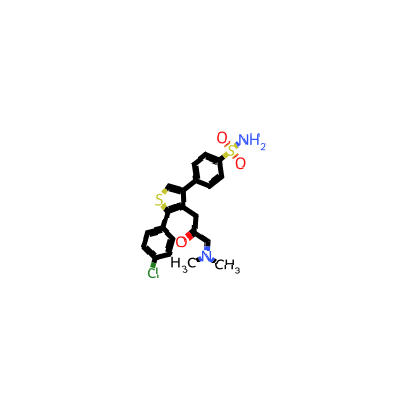 CN(C)CC(=O)Cc1c(-c2ccc(S(N)(=O)=O)cc2)csc1-c1ccc(Cl)cc1